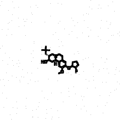 COc1cc2c(cc1OC1CCCC1F)CCN1C[C@@H](CC(C)(C)C)[C@H](O)C[C@H]21